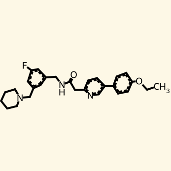 CCOc1ccc(-c2ccc(CC(=O)NCc3cc(F)cc(CN4CCCCC4)c3)nc2)cc1